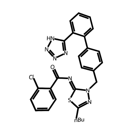 CCCCc1nn(Cc2ccc(-c3ccccc3-c3nnn[nH]3)cc2)c(=NC(=O)c2ccccc2Cl)s1